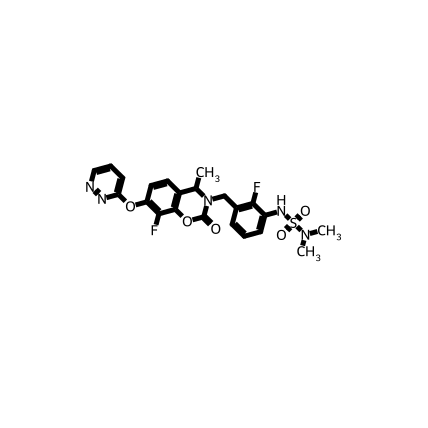 CC1c2ccc(Oc3cccnn3)c(F)c2OC(=O)N1Cc1cccc(NS(=O)(=O)N(C)C)c1F